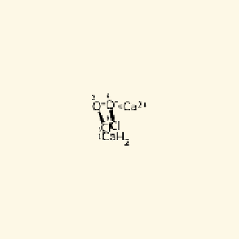 [Ca+2].[CaH2].[O-]Cl.[O-]Cl